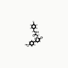 COc1ccc(-c2ccc(=O)n(CC(=O)NCc3ccc(C)cc3)n2)cc1